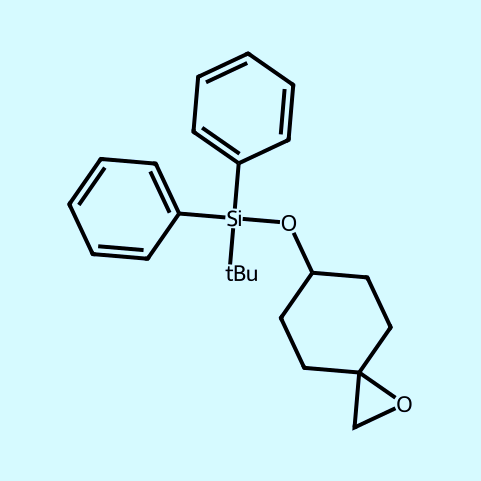 CC(C)(C)[Si](OC1CCC2(CC1)CO2)(c1ccccc1)c1ccccc1